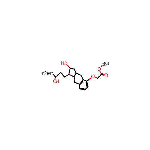 CCCCCC(O)CCC1C(O)CC2Cc3c(cccc3OCC(=O)OC(C)(C)C)CC21